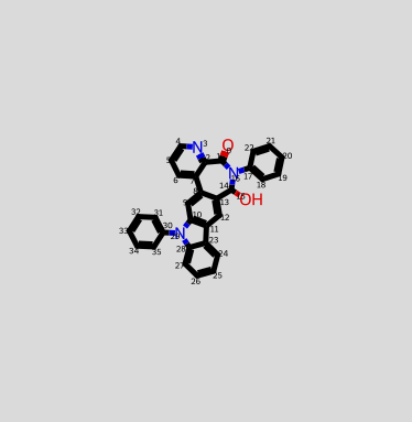 O=C1c2ncccc2-c2cc3c(cc2C(O)N1c1ccccc1)c1ccccc1n3-c1ccccc1